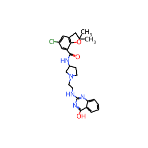 CC1(C)Cc2cc(Cl)cc(C(=O)NC3CCN(CCNc4nc(O)c5ccccc5n4)C3)c2O1